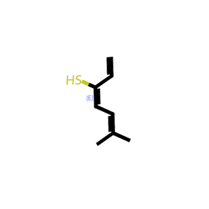 C=C/C(S)=C\C=C(C)C